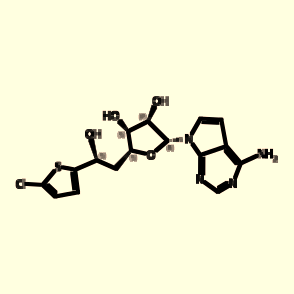 Nc1ncnc2c1ccn2[C@@H]1O[C@@H](C[C@H](O)c2ccc(Cl)s2)[C@@H](O)[C@H]1O